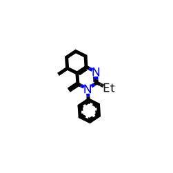 C=C1C2=C(CCCC2C)N=C(CC)N1c1ccccc1